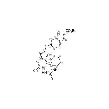 C=C1Nc2c(Cl)cc3cc(CN4CCn5cc(C(=O)OCC)nc5C4)oc3c2C2(CCCCC2)N1